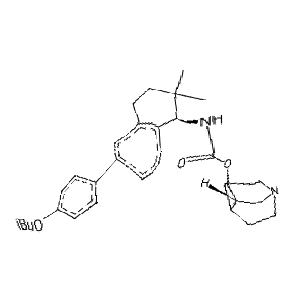 CC(C)COc1ccc(-c2ccc3c(c2)CCC(C)(C)[C@H]3NC(=O)O[C@@H]2CN3CCC2CC3)cc1